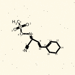 CS(=O)(=O)O/N=C(C#N)/C=C/C1=CCCCC1